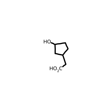 O=C(O)CC1CCC(O)C1